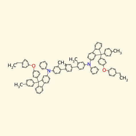 C=Cc1ccc(Oc2ccc(C3(c4ccc(C)cc4)c4ccccc4-c4ccc(N(c5ccccc5)c5ccc(-c6ccc(-c7ccc(N(c8ccccc8)c8ccc9c(c8)C(c8ccc(C)cc8)(c8ccc(Oc%10ccc(C=C)cc%10)cc8)c8ccccc8-9)cc7C)cc6)c(C)c5)cc43)cc2)cc1